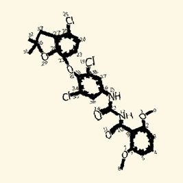 COc1cccc(OC)c1C(=O)NC(=O)Nc1cc(Cl)c(Oc2ccc(Cl)c3c2OC(C)(C)C3)c(Cl)c1